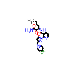 CCCCC(NC(=O)c1cccnc1-n1ccc(CN2CCC(F)(F)CC2)n1)C(=O)C(N)=O